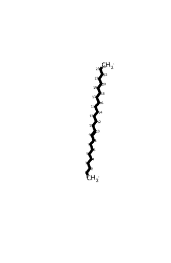 [CH2]CCCCCCCCC=CCCCCCCCCCCCCC[CH2]